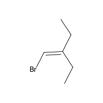 CCC(=CBr)CC